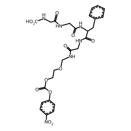 O=C(O)NCC(=O)NCC(=O)NC(Cc1ccccc1)C(=O)NCC(=O)NCOCCOC(=O)Oc1ccc([N+](=O)[O-])cc1